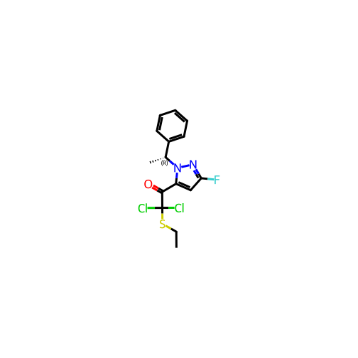 CCSC(Cl)(Cl)C(=O)c1cc(F)nn1[C@H](C)c1ccccc1